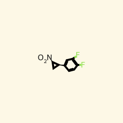 O=[N+]([O-])[C@H]1C[C@@H]1c1ccc(F)c(F)c1